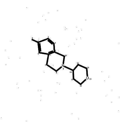 Cc1ccc2c(c1)CCN(C1CCOCC1)C2